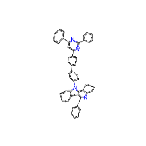 c1ccc(-c2cc(-c3ccc(-c4ccc(-n5c6ccccc6c6c(-c7ccccc7)nc7ccccc7c65)cc4)cc3)nc(-c3ccccc3)n2)cc1